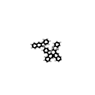 c1ccc2cc(-c3nc4ccccc4nc3-n3c4cc(-n5c6ccccc6c6cc7ccccc7cc65)ccc4c4c5ccccc5ccc43)ccc2c1